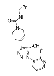 Cc1c(C2=CCN(C(=O)NCC(C)C)CC2)nnn1-c1cccnc1F